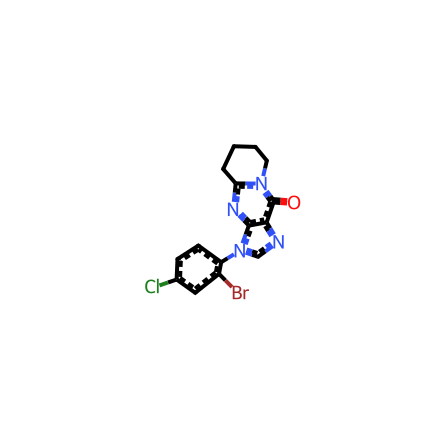 O=c1c2ncn(-c3ccc(Cl)cc3Br)c2nc2n1CCCC2